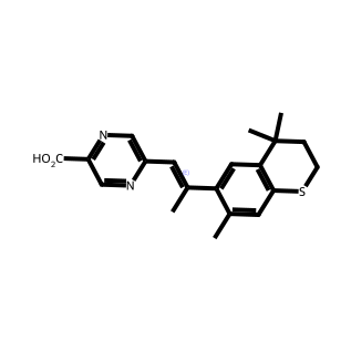 C/C(=C\c1cnc(C(=O)O)cn1)c1cc2c(cc1C)SCCC2(C)C